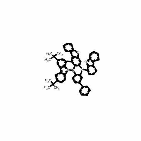 CC(C)(C)c1ccc2c(c1)c1cc(C(C)(C)C)cc3c1n2B1c2ccc(-c4ccccc4)cc2N(c2cccc4c2oc2ccccc24)c2cc4sc5ccccc5c4c-3c21